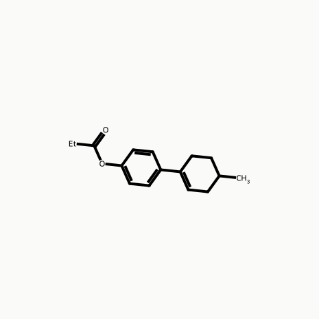 CCC(=O)Oc1ccc(C2=CCC(C)CC2)cc1